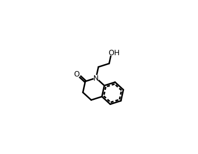 O=C1CCc2ccccc2N1CCO